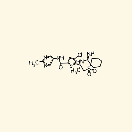 Cc1ncc(NC(=O)c2cc(Cl)c([C@]3(C)CS(=O)(=O)C4(CCCCC4)C(=N)N3)s2)cn1